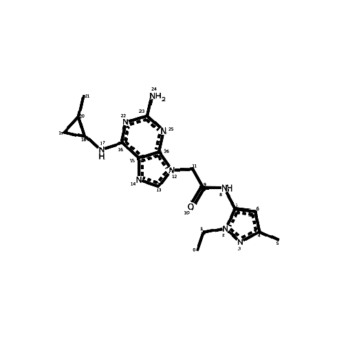 CCn1nc(C)cc1NC(=O)Cn1cnc2c(NC3CC3C)nc(N)nc21